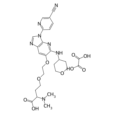 CN(C)C(CCOCCOc1cc2ncn(-c3ccc(C#N)cn3)c2nc1NC1CCOCC1)C(=O)O.O=C(O)C(=O)O